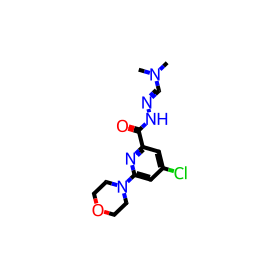 CN(C)C=NNC(=O)c1cc(Cl)cc(N2CCOCC2)n1